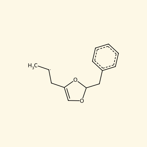 C[CH]CC1=COC(Cc2ccccc2)O1